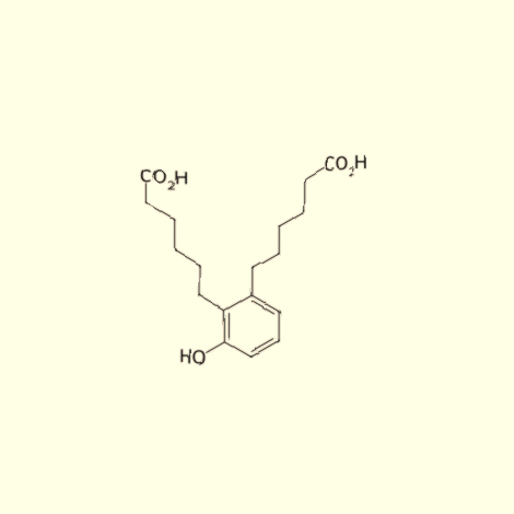 O=C(O)CCCCCc1cccc(O)c1CCCCCC(=O)O